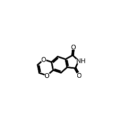 O=c1[nH]c(=O)c2cc3occoc3cc12